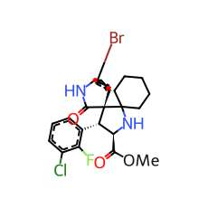 COC(=O)[C@@H]1NC2(CCCCC2)[C@@]2(C(=O)Nc3cc(Br)ccc32)[C@H]1c1cccc(Cl)c1F